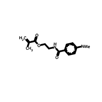 C=C(C)C(=O)OCCNC(=O)c1ccc(NC)cc1